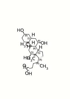 C[C@H](CC[13C](=O)O)[C@H]1CC[C@H]2[C@@H]3[C@H](O)C[C@@H]4C[C@H](O)CC[C@]4(C)[C@H]3C[C@H](O)[C@]12C